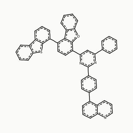 c1ccc(-c2cc(-c3ccc(-c4cccc5c4sc4ccccc45)c4c3oc3ccccc34)nc(-c3ccc(-c4cccc5ncccc45)cc3)n2)cc1